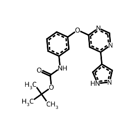 CC(C)(C)OC(=O)Nc1cccc(Oc2cc(-c3cn[nH]c3)ncn2)c1